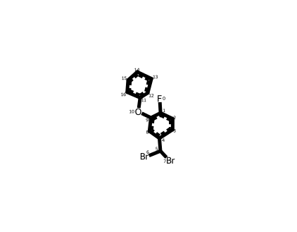 Fc1ccc(C(Br)Br)cc1Oc1ccccc1